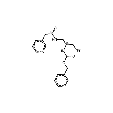 CC(=O)[C@H](Cc1cccnc1)NC[C@@H](CC(C)C)NC(=O)OCc1ccccc1